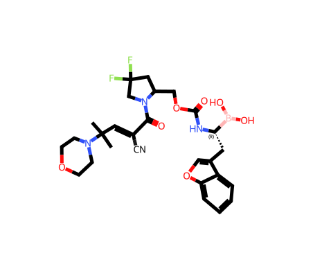 CC(C)(C=C(C#N)C(=O)N1CC(F)(F)CC1COC(=O)N[C@@H](Cc1coc2ccccc12)B(O)O)N1CCOCC1